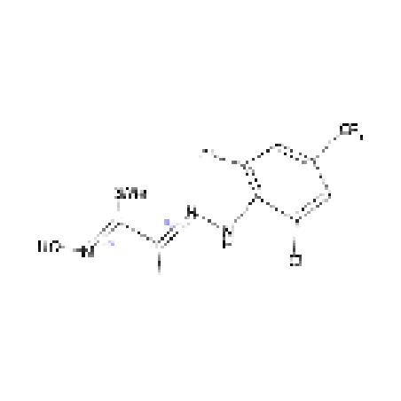 CSC(=N\O)/C(C)=N/Nc1c(Cl)cc(C(F)(F)F)cc1Cl